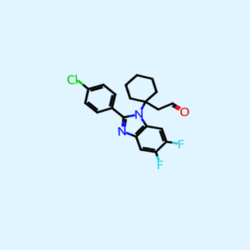 O=CCC1(n2c(-c3ccc(Cl)cc3)nc3cc(F)c(F)cc32)CCCCC1